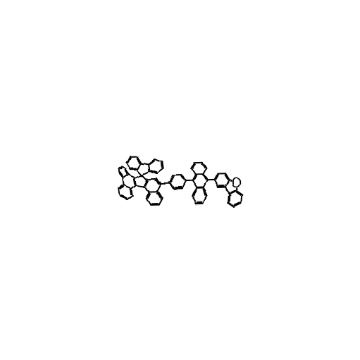 c1ccc2c(c1)-c1ccccc1C21c2cc(-c3ccc(-c4c5ccccc5c(-c5ccc6oc7ccccc7c6c5)c5ccccc45)cc3)c3ccccc3c2-c2c1c1ccccc1c1ccccc21